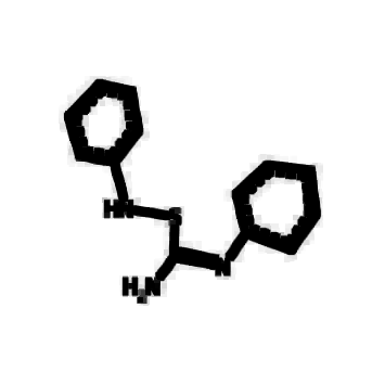 NC(=Nc1ccccc1)SNc1ccccc1